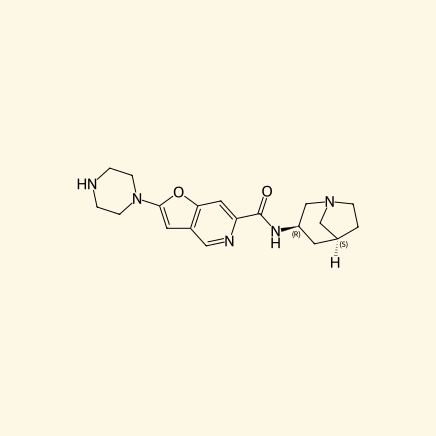 O=C(N[C@@H]1C[C@@H]2CCN(C2)C1)c1cc2oc(N3CCNCC3)cc2cn1